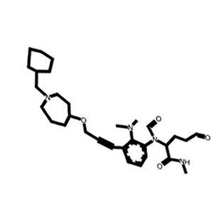 CNC(=O)C(CCC=O)N(C=O)c1cccc(C#CCOC2CCCN(CC3CCCCC3)CC2)c1N(C)C